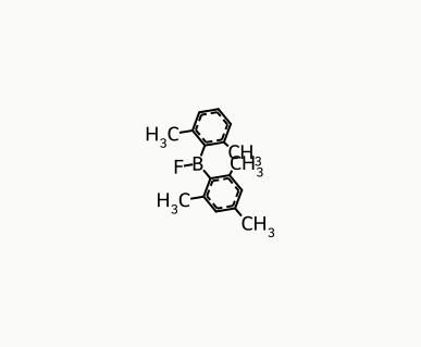 Cc1cc(C)c(B(F)c2c(C)cccc2C)c(C)c1